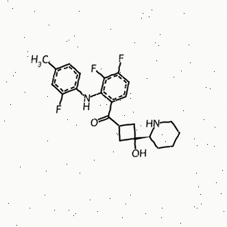 Cc1ccc(Nc2c(C(=O)C3CC(O)([C@@H]4CCCCN4)C3)ccc(F)c2F)c(F)c1